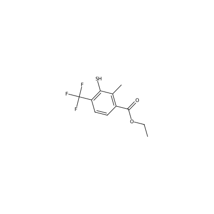 CCOC(=O)c1ccc(C(F)(F)F)c(S)c1C